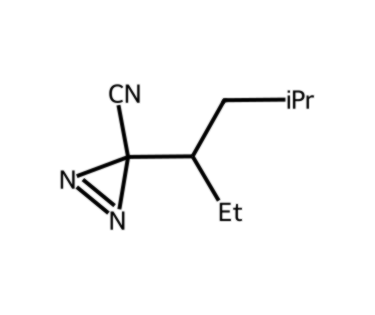 CCC(CC(C)C)C1(C#N)N=N1